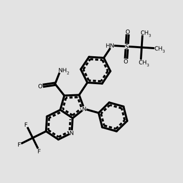 CC(C)(C)S(=O)(=O)Nc1ccc(-c2c(C(N)=O)c3cc(C(F)(F)F)cnc3n2-c2ccccc2)cc1